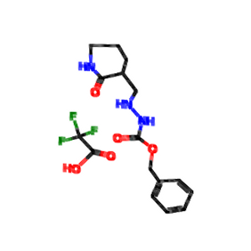 O=C(NNCC1CCCNC1=O)OCc1ccccc1.O=C(O)C(F)(F)F